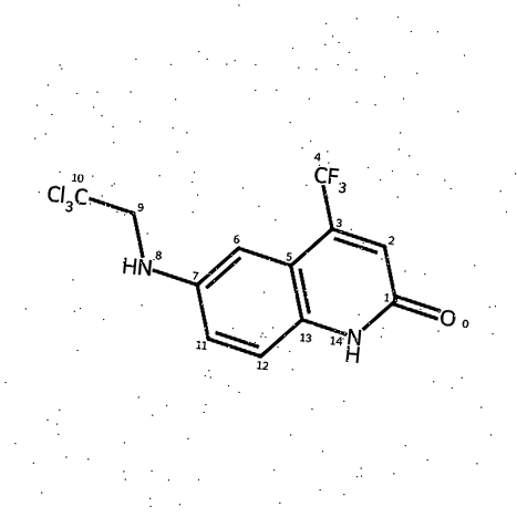 O=c1cc(C(F)(F)F)c2cc(NCC(Cl)(Cl)Cl)ccc2[nH]1